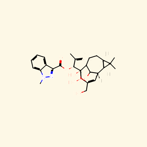 CC1=C[C@]23C(O)[C@@H](C=C(CO)[C@@H](O)[C@]2(O)[C@H]1OC(=O)c1nn(C)c2ccccc12)[C@H]1[C@@H](C[C@H]3C)C1(C)C